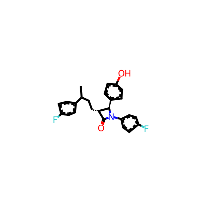 CC(CC[C@H]1C(=O)N(c2ccc(F)cc2)[C@@H]1c1ccc(O)cc1)c1ccc(F)cc1